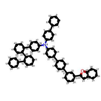 c1ccc(-c2ccc(N(c3ccc(-c4ccc(-c5cccc(-c6cc7ccccc7o6)c5)cc4)cc3)c3ccc(-c4ccccc4-c4ccccc4-c4ccccc4)cc3)cc2)cc1